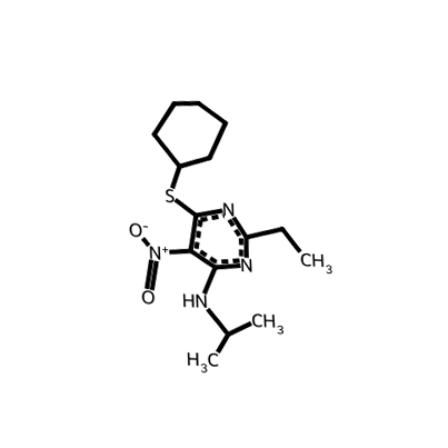 CCc1nc(NC(C)C)c([N+](=O)[O-])c(SC2CCCCC2)n1